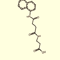 O=C(O)CCNC(=O)CCC(=O)Nc1cccc2ccccc12